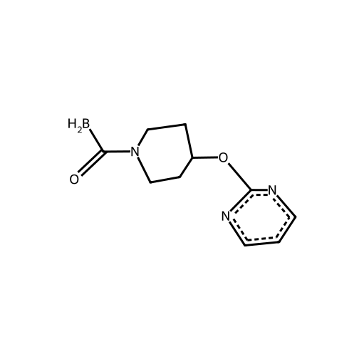 BC(=O)N1CCC(Oc2ncccn2)CC1